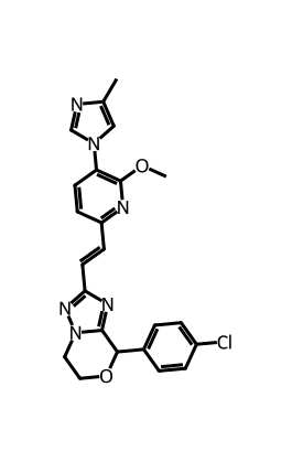 COc1nc(/C=C/c2nc3n(n2)CCOC3c2ccc(Cl)cc2)ccc1-n1cnc(C)c1